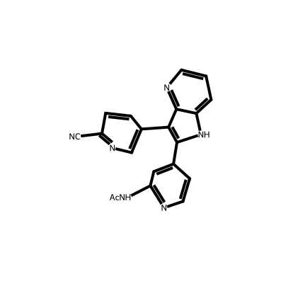 CC(=O)Nc1cc(-c2[nH]c3cccnc3c2-c2ccc(C#N)nc2)ccn1